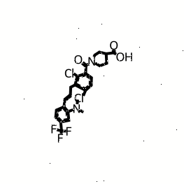 CN(C)c1cc(C(F)(F)F)ccc1/C=C/Cc1c(Cl)ccc(C(=O)N2CCC(C(=O)O)CC2)c1Cl